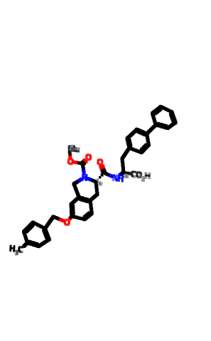 Cc1ccc(COc2ccc3c(c2)CN(C(=O)OC(C)(C)C)[C@H](C(=O)N[C@@H](Cc2ccc(-c4ccccc4)cc2)C(=O)O)C3)cc1